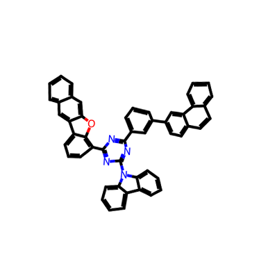 c1cc(-c2ccc3ccc4ccccc4c3c2)cc(-c2nc(-c3cccc4c3oc3cc5ccccc5cc34)nc(-n3c4ccccc4c4ccccc43)n2)c1